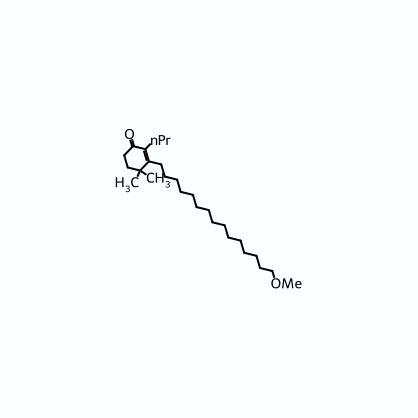 CCCC1=C(CCCCCCCCCCCCCCCOC)C(C)(C)CCC1=O